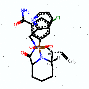 C=C[C@H]1CN(Cc2ccccn2)C(=O)C2CCC[C@@H]1N2S(=O)(=O)c1cc(Cl)cc(C(N)=O)c1